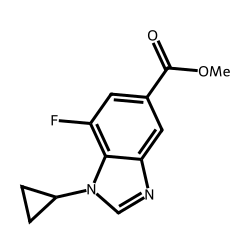 COC(=O)c1cc(F)c2c(c1)ncn2C1CC1